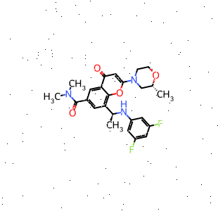 C[C@@H]1CN(c2cc(=O)c3cc(C(=O)N(C)C)cc([C@H](C)Nc4cc(F)cc(F)c4)c3o2)CCO1